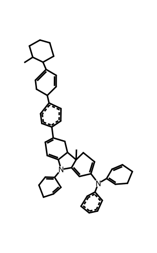 CC1CCCCC1C1=CCC(c2ccc(C3=CC=C4C(C3)C3(C)CC=C(N(C5=CCCC=C5)c5ccccc5)C=C3N4C3=CCCC=C3)cc2)C=C1